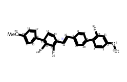 CCOc1ccc(-c2ccc(/C=C/c3ccc(-c4ccc(OC)cc4)c(F)c3F)cc2)c(F)c1